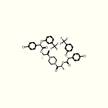 C=C([C@H](C)OC(=O)[C@H](Oc1cccc(C(F)(F)F)c1)c1ccc(Cl)cc1)N1CCN(C(=O)[C@H](C)OC(=O)[C@H](Oc2cccc(C(F)(F)F)c2)c2ccc(Cl)cc2)CC1